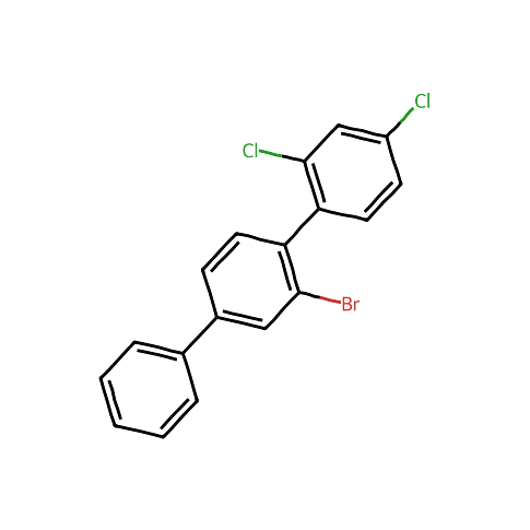 Clc1ccc(-c2ccc(-c3ccccc3)cc2Br)c(Cl)c1